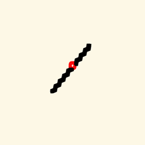 C=CCCCCCCOCCCCCCCCCC